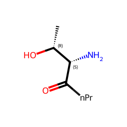 [CH2]CCC(=O)[C@@H](N)[C@@H](C)O